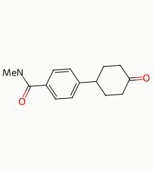 CNC(=O)c1ccc(C2CCC(=O)CC2)cc1